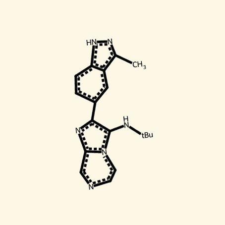 Cc1n[nH]c2ccc(-c3nc4cnccn4c3NC(C)(C)C)cc12